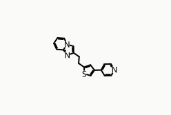 c1ccn2cc(CCc3cc(-c4ccncc4)cs3)nc2c1